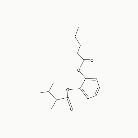 CCCCC(=O)Oc1ccccc1OC(=O)C(C)C(C)C